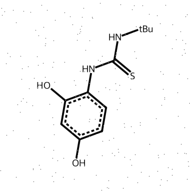 CC(C)(C)NC(=S)Nc1ccc(O)cc1O